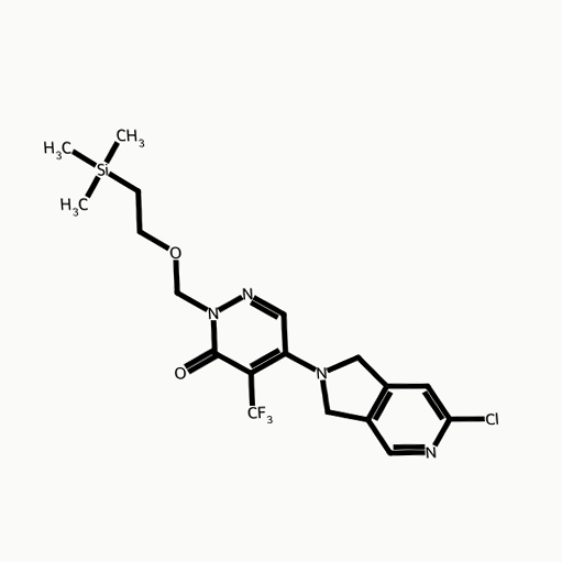 C[Si](C)(C)CCOCn1ncc(N2Cc3cnc(Cl)cc3C2)c(C(F)(F)F)c1=O